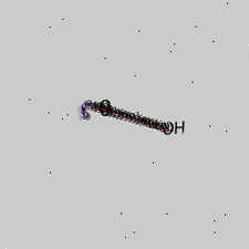 CC/C=C\C/C=C\C/C=C\CCCCCCCC(=O)OCCCCCCCCCCCCCCCCCCCCCCCCCCCCCCCCO